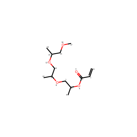 C=CC(=O)OC(C)COC(C)COC(C)COC